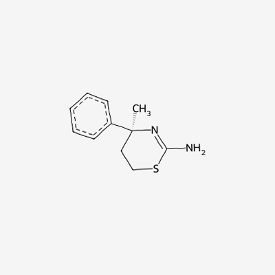 C[C@@]1(c2ccccc2)CCSC(N)=N1